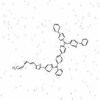 C\C=C/C=C\C=C\c1ccc(-c2ccc(N(c3ccccc3)c3ccc(-c4ccc(N(c5ccc(-c6ccccc6)cc5)c5ccc(-c6ccccc6)cc5)cc4)cc3)cc2)s1